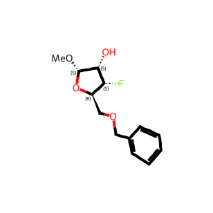 CO[C@H]1O[C@H](COCc2ccccc2)[C@@H](F)[C@H]1O